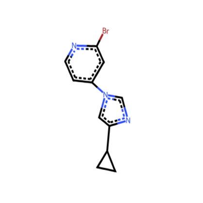 Brc1cc(-n2cnc(C3CC3)c2)ccn1